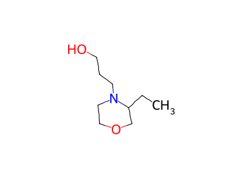 CCC1COCCN1CCCO